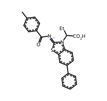 CCC(C(=O)O)n1/c(=N/C(=O)c2ccc(C)cc2)sc2cc(-c3ccccc3)ccc21